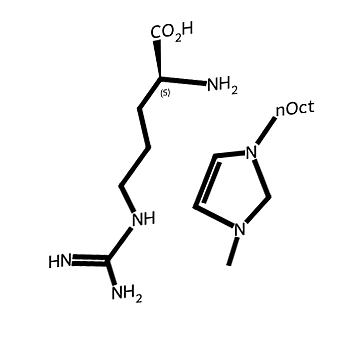 CCCCCCCCN1C=CN(C)C1.N=C(N)NCCC[C@H](N)C(=O)O